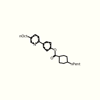 CCCCCCCCc1ccc(-c2ccc(OC(=O)C3CCC(CCCCC)CC3)cc2)nc1